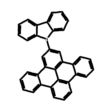 c1ccc2c(c1)c1cccc3c4ccccc4c4cc(-n5c6ccccc6c6ccccc65)cc2c4c13